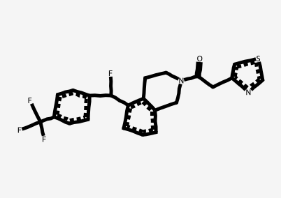 O=C(Cc1cscn1)N1CCc2c(cccc2C(F)c2ccc(C(F)(F)F)cc2)C1